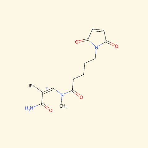 CC(C)/C(=C/N(C)C(=O)CCCCN1C(=O)C=CC1=O)C(N)=O